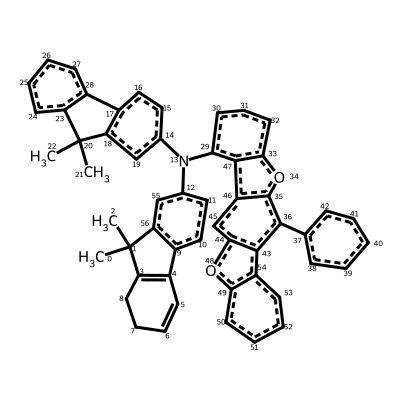 CC1(C)C2=C(C=CCC2)c2ccc(N(c3ccc4c(c3)C(C)(C)c3ccccc3-4)c3cccc4oc5c(-c6ccccc6)c6c(cc5c34)oc3ccccc36)cc21